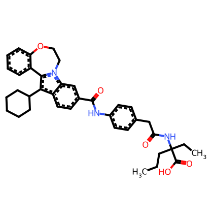 CCCC(CC)(NC(=O)Cc1ccc(NC(=O)c2ccc3c(C4CCCCC4)c4n(c3c2)CCOc2ccccc2-4)cc1)C(=O)O